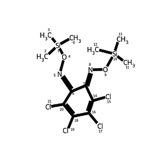 C[Si](C)(C)ON=C1C(=NO[Si](C)(C)C)C(Cl)=C(Cl)C(Cl)=C1Cl